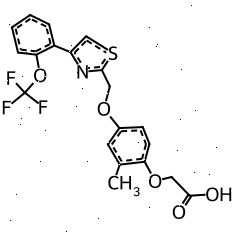 Cc1cc(OCc2nc(-c3ccccc3OC(F)(F)F)cs2)ccc1OCC(=O)O